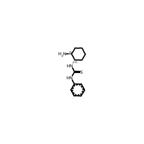 N[C@H]1CCCC[C@@H]1NC(=S)Nc1ccccc1